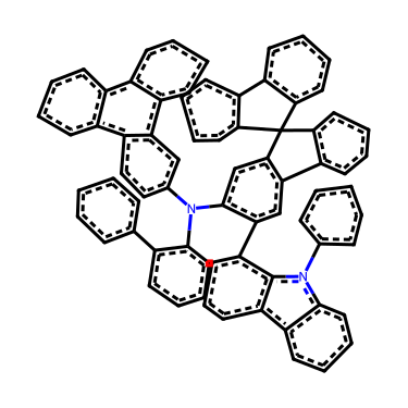 c1ccc(-c2ccccc2N(c2ccc3c4ccccc4c4ccccc4c3c2)c2cc3c(cc2-c2cccc4c5ccccc5n(-c5ccccc5)c24)-c2ccccc2C32c3ccccc3-c3ccccc32)cc1